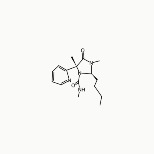 CCCC[C@@H]1N(C)C(=O)[C@@](C)(c2ccccn2)N1C(=O)NC